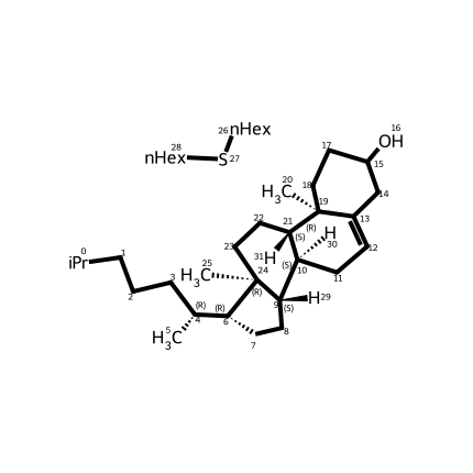 CC(C)CCC[C@@H](C)[C@H]1CC[C@H]2[C@@H]3CC=C4CC(O)CC[C@]4(C)[C@H]3CC[C@]12C.CCCCCCSCCCCCC